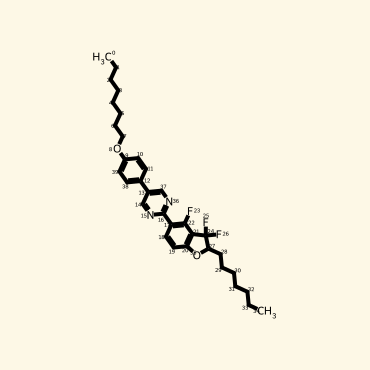 CCCCCCCCOc1ccc(-c2cnc(-c3ccc4c(c3F)C(F)(F)C(CCCCCCC)O4)nc2)cc1